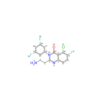 NCCc1nc2ccc(F)c(Cl)c2c(=O)n1-c1cc(F)cc(F)c1